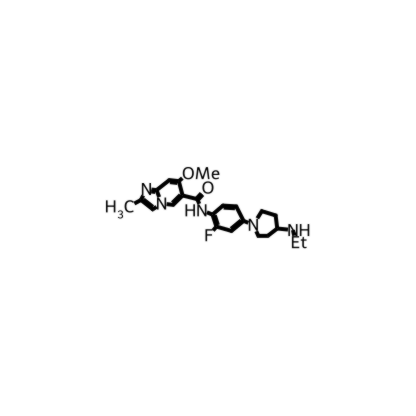 CCNC1CCN(c2ccc(NC(=O)c3cn4cc(C)nc4cc3OC)c(F)c2)CC1